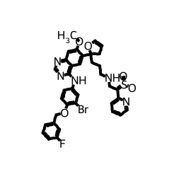 COc1cc2ncnc(Nc3ccc(OCc4cccc(F)c4)c(Br)c3)c2cc1C1(CCCNCC(c2ccccn2)=S(=O)=O)CC=CO1